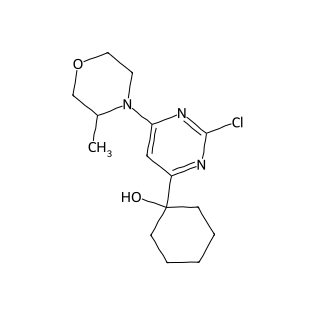 CC1COCCN1c1cc(C2(O)CCCCC2)nc(Cl)n1